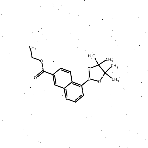 CCOC(=O)c1ccc2c(B3OC(C)(C)C(C)(C)O3)ccnc2c1